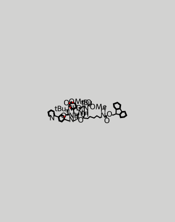 COC(=O)N[C@H](C(=O)N[C@@H](Cc1ccccc1)[C@H](CN(Cc1ccc(-c2ccccn2)cc1)NC(=O)[C@@H](NC(=O)OC)C(C)(C)C)OC(=O)CCCCCNC(=O)OCC1c2ccccc2-c2ccccc21)C(C)(C)C